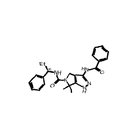 CC[C@@H](NC(=O)N1Cc2c(NC(=O)c3ccccc3)n[nH]c2C1(C)C)c1ccccc1